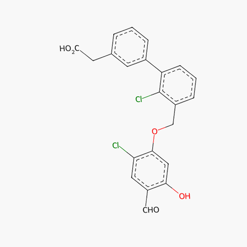 O=Cc1cc(Cl)c(OCc2cccc(-c3cccc(CC(=O)O)c3)c2Cl)cc1O